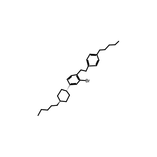 CCCCCc1ccc(CCc2ccc([C@H]3CC[C@H](CCCCC)CC3)cc2Br)cc1